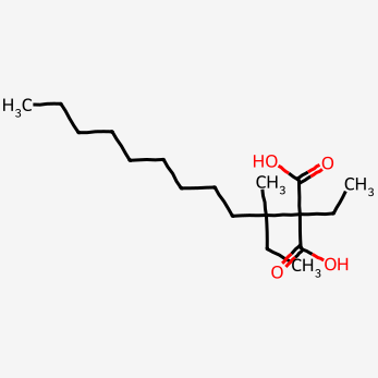 CCCCCCCCCC(C)(CC)C(CC)(C(=O)O)C(=O)O